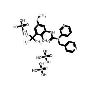 COc1cc(NC(=O)N(Cc2ccncc2)c2cccnc2)c(O)c(C(C)(C)C)c1.O=P(O)(O)O.O=P(O)(O)O.O=P(O)(O)O